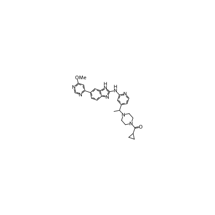 COc1cc(-c2ccc3nc(Nc4cc(C(C)N5CCN(C(=O)C6CC6)CC5)ccn4)[nH]c3c2)ncn1